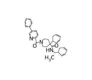 C[C@H](NC(=O)C1(C2C=CC=CC2)CCN(C(=O)c2ccc(-c3ccccc3)cn2)CC1)C1C=CC=CC1